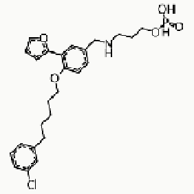 O=[PH](O)OCCCNCc1ccc(OCCCCCc2cccc(Cl)c2)c(-c2ccco2)c1